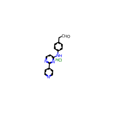 Cl.O=CCc1ccc(Nc2ccnc(-c3ccncc3)n2)cc1